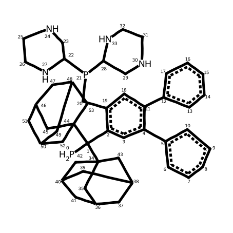 PC(c1cc(-c2ccccc2)c(-c2ccccc2)cc1CP(C1CNCCN1)C1CNCCN1)(C12CC3CC(CC(C3)C1)C2)C12CC3CC(CC(C3)C1)C2